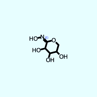 O/N=C1/OCC(O)C(O)C1O